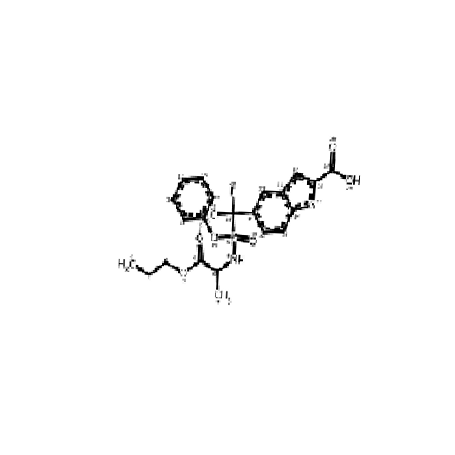 CCCOC(=O)C(C)NP(=O)(Oc1ccccc1)C(C)(F)c1ccc2sc(C(=O)O)cc2c1